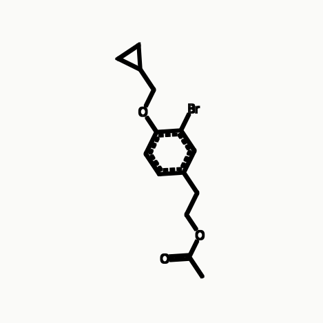 CC(=O)OCCc1ccc(OCC2CC2)c(Br)c1